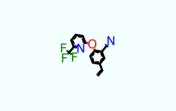 C=Cc1ccc(Oc2cccc(C(F)(F)F)n2)c(C#N)c1